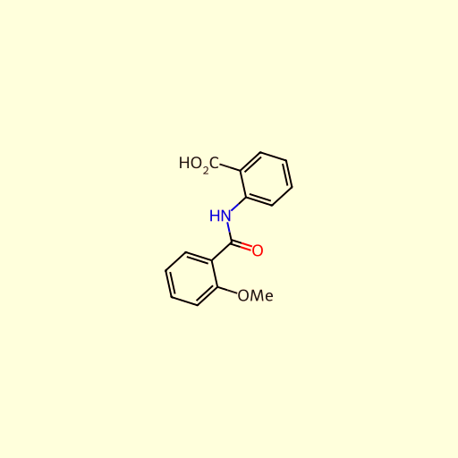 COc1ccccc1C(=O)Nc1ccccc1C(=O)O